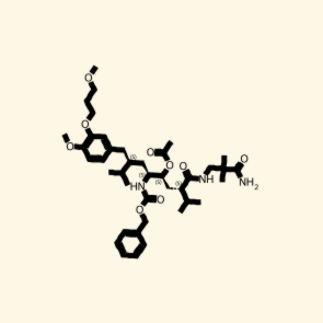 COCCCOc1cc(C[C@@H](C[C@H](NC(=O)OCc2ccccc2)[C@H](C[C@H](C(=O)NCC(C)(C)C(N)=O)C(C)C)OC(C)=O)C(C)C)ccc1OC